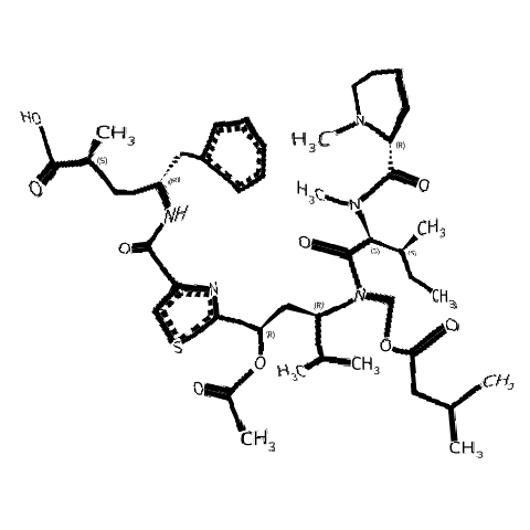 CC[C@H](C)[C@@H](C(=O)N(COC(=O)CC(C)C)[C@H](C[C@@H](OC(C)=O)c1nc(C(=O)N[C@@H](Cc2ccccc2)C[C@H](C)C(=O)O)cs1)C(C)C)N(C)C(=O)[C@H]1CCCCN1C